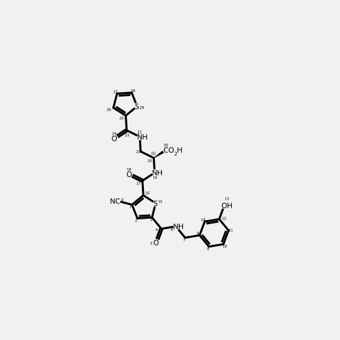 N#Cc1cc(C(=O)NCc2cccc(O)c2)sc1C(=O)N[C@@H](CNC(=O)c1cccs1)C(=O)O